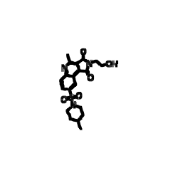 Cc1nc2ccc(S(=O)(=O)N3CCC(C)CC3)cc2c2c1C(=O)N(CCO)C2=O